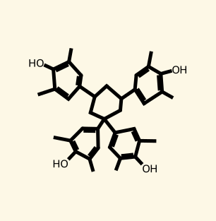 Cc1cc(C2CC(c3cc(C)c(O)c(C)c3)CC(c3cc(C)c(O)c(C)c3)(c3cc(C)c(O)c(C)c3)C2)cc(C)c1O